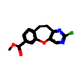 COC(=O)c1ccc2c(c1)Oc1cnc(Cl)nc1CC2